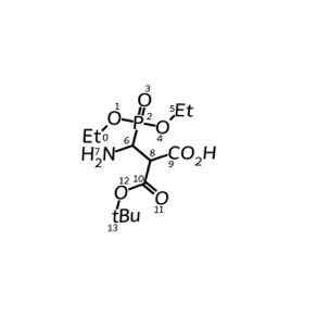 CCOP(=O)(OCC)C(N)C(C(=O)O)C(=O)OC(C)(C)C